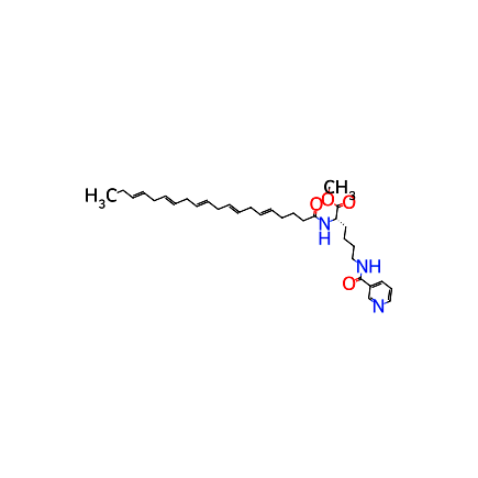 CCC=CCC=CCC=CCC=CCC=CCCCC(=O)N[C@@H](CCCCNC(=O)c1cccnc1)C(=O)OC